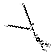 CCCCCCCCCCCCCCCC(=O)OCC(CSCCC(=O)Nc1ccc(C(=O)N[C@@H](CCSC)C(=O)OC(C)(C)C)cc1)OC(=O)CCCCCCCCCCCCCCC